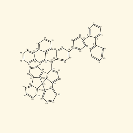 c1ccc(-c2ccccc2-c2ccc(-c3ccc(N(c4ccc5c(c4)C4(c6ccccc6-c6ccccc64)c4ccccc4-5)c4cc5ccccc5c5ccccc45)cc3)cc2)cc1